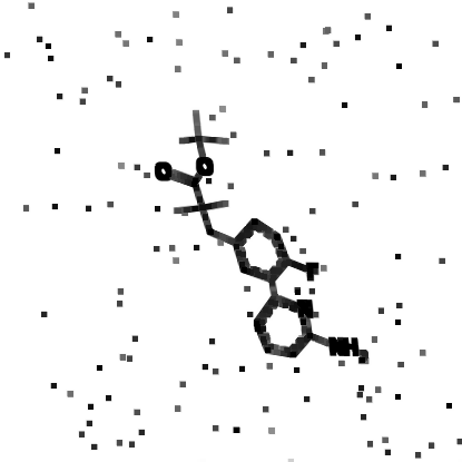 CC(C)(C)OC(=O)C(C)(C)Cc1ccc(F)c(-c2cccc(N)n2)c1